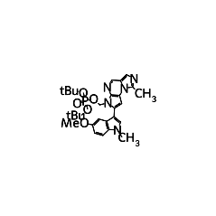 COc1ccc2c(c1)c(-c1cc3c(ncc4cnc(C)n43)n1COP(=O)(OC(C)(C)C)OC(C)(C)C)cn2C